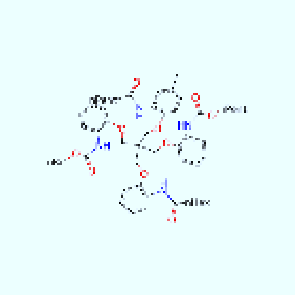 CCCCCCC(=O)Nc1ccccc1OCC(COc1ccc(C)cc1NC(=O)CCCCC)(COc1ccccc1NC(=O)OCCCC)COc1ccccc1NC(=O)OCCCCC